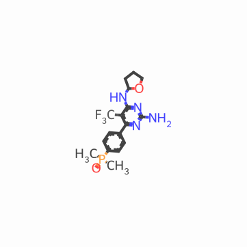 CP(C)(=O)c1ccc(-c2nc(N)nc(NC3CCCO3)c2C(F)(F)F)cc1